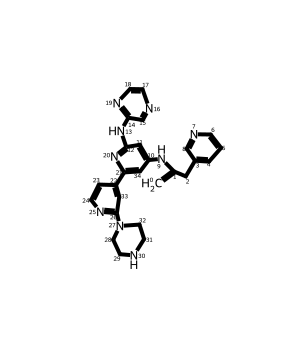 C=C(Cc1cccnc1)Nc1cc(Nc2cnccn2)nc(-c2ccnc(N3CCNCC3)c2)c1